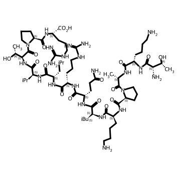 CC[C@H](C)[C@H](NC(=O)[C@H](CCCCN)NC(=O)[C@@H]1CCCN1C(=O)[C@H](C)NC(=O)[C@H](CCCCN)NC(=O)[C@@H](N)[C@@H](C)O)C(=O)N[C@@H](CCC(N)=O)C(=O)N[C@@H](CCCNC(=N)N)C(=O)N[C@@H](CC(C)C)C(=O)N[C@H](C(=O)N[C@H](C(=O)N1CCC[C@H]1C(=O)N[C@@H](CCCNC(=N)N)C(=O)O)[C@@H](C)O)C(C)C